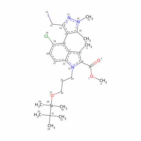 COC(=O)c1c(C)c2c(-c3c(CI)nn(C)c3C)c(Cl)ccc2n1CCCO[Si](C)(C)C(C)(C)C